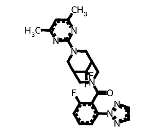 Cc1cc(C)nc(N2CC3CN(C(=O)c4c(F)cccc4-n4nccn4)CC(C2)C3(F)F)n1